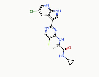 C[C@H](Nc1nc(-c2c[nH]c3ncc(Cl)cc23)ncc1F)C(=O)NC1CC1